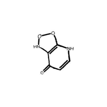 O=c1cc[nH]c2c1NOO2